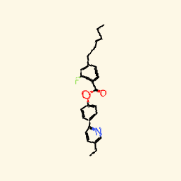 CCCCCCc1ccc(C(=O)Oc2ccc(-c3ccc(CC)cn3)cc2)c(F)c1